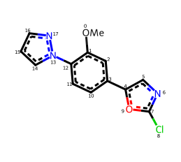 COc1cc(-c2cnc(Cl)o2)ccc1-n1cccn1